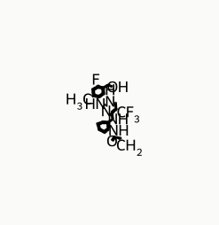 C=CC(=O)Nc1ccccc1NC1=C(C(F)(F)F)CNC(Nc2cc(CO)c(F)cc2C)=N1